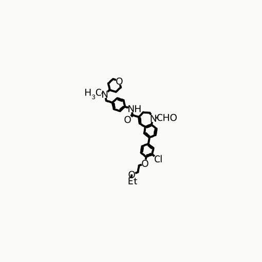 CCOCCOc1ccc(-c2ccc3c(c2)C=C(C(=O)Nc2ccc(CN(C)C4CCOCC4)cc2)CCN3C=O)cc1Cl